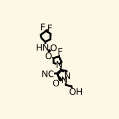 N#Cc1c(N2C[C@H](OC(=O)NC3CCC(F)(F)CC3)[C@@H](F)C2)cnn(CCO)c1=O